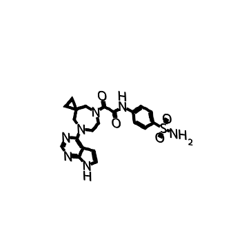 NS(=O)(=O)c1ccc(NC(=O)C(=O)N2CCN(c3ncnc4[nH]ccc34)CC3(CC3)C2)cc1